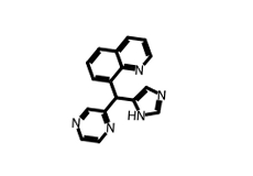 c1cnc2c(C(c3cnccn3)c3cnc[nH]3)cccc2c1